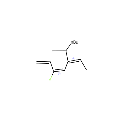 C=C/C(F)=C\C(=C/C)C(C)CCCC